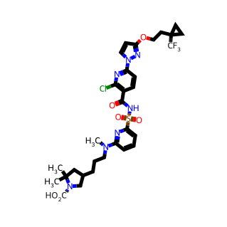 CN(CCCC1CN(C(=O)O)C(C)(C)C1)c1cccc(S(=O)(=O)NC(=O)c2ccc(-n3ccc(OCCC4(C(F)(F)F)CC4)n3)nc2Cl)n1